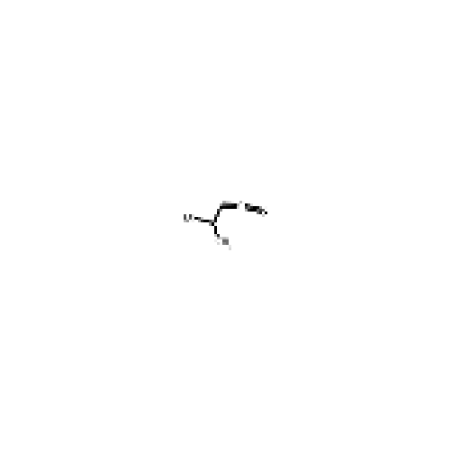 CCC(C)C=C=S